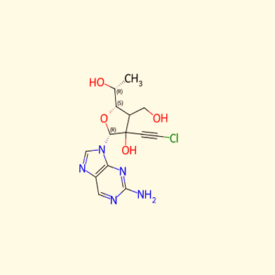 C[C@@H](O)[C@H]1O[C@@H](n2cnc3cnc(N)nc32)C(O)(C#CCl)C1CO